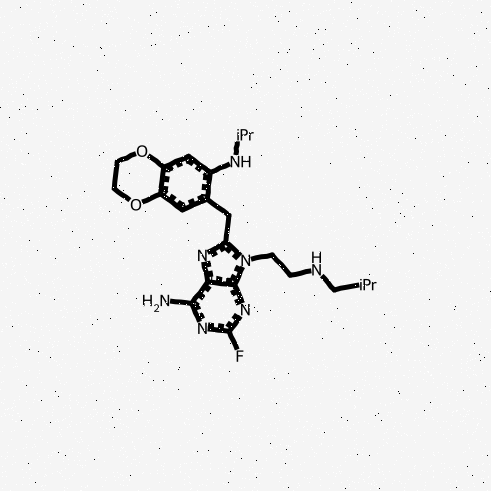 CC(C)CNCCn1c(Cc2cc3c(cc2NC(C)C)OCCO3)nc2c(N)nc(F)nc21